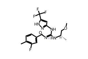 COC[C@H](C)N/C(=N/C(=O)c1ccc(C)c(F)c1)Nc1cc(C(F)(F)F)[nH]n1